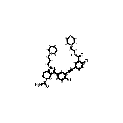 NC(=O)N1CCc2c(c(-c3ccc(Cl)c(C#Cc4ccc(Cl)c(C(=O)NCCN5CCOCC5)c4)c3)nn2CCCN2CCSCC2)C1